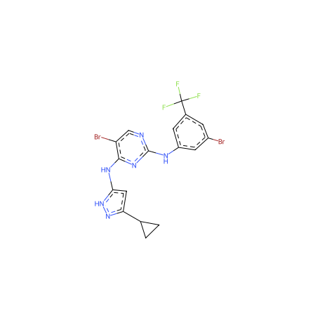 FC(F)(F)c1cc(Br)cc(Nc2ncc(Br)c(Nc3cc(C4CC4)n[nH]3)n2)c1